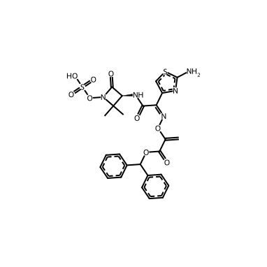 C=C(O/N=C(\C(=O)N[C@@H]1C(=O)N(OS(=O)(=O)O)C1(C)C)c1csc(N)n1)C(=O)OC(c1ccccc1)c1ccccc1